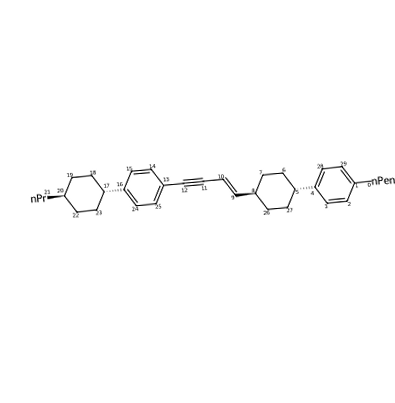 CCCCCc1ccc([C@H]2CC[C@H](C=CC#Cc3ccc([C@H]4CC[C@H](CCC)CC4)cc3)CC2)cc1